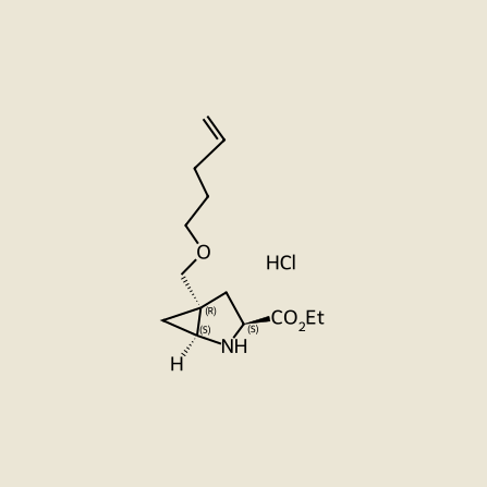 C=CCCCOC[C@]12C[C@@H](C(=O)OCC)N[C@H]1C2.Cl